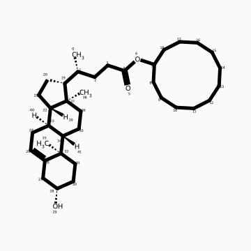 C[C@H](CCC(=O)OC1CCCCCCCCCCC1)[C@H]1CC[C@H]2[C@@H]3CC=C4C[C@@H](O)CC[C@]4(C)[C@H]3CC[C@]12C